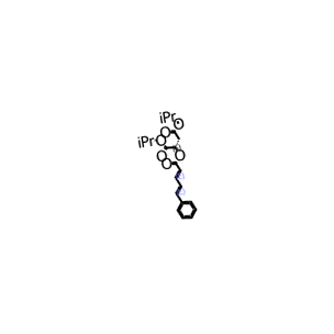 CC(C)OC(=O)C[C@H](OC(=O)/C=C/C=C/c1ccccc1)C(=O)OC(C)C